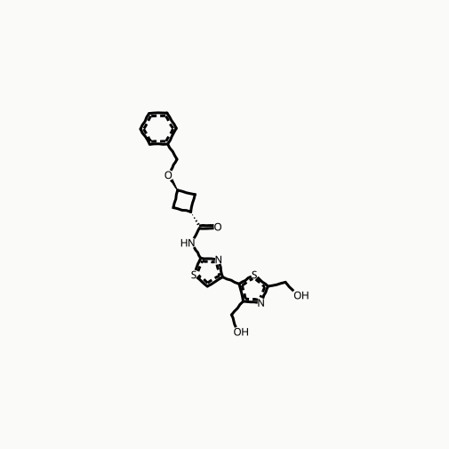 O=C(Nc1nc(-c2sc(CO)nc2CO)cs1)[C@H]1C[C@H](OCc2ccccc2)C1